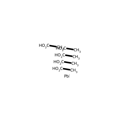 CC(=O)O.CC(=O)O.CC(=O)O.CC(=O)O.CC(=O)O.[Pb]